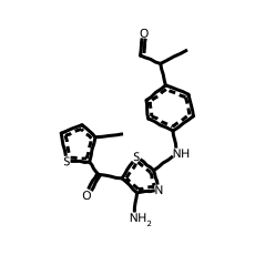 Cc1ccsc1C(=O)c1sc(Nc2ccc(C(C)C=O)cc2)nc1N